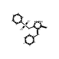 C=c1[nH]nc(CS(=O)(=O)c2ccccc2)c1=Cc1ccccc1